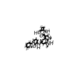 CNc1cc(Nc2cccn(-c3ccccn3)c2=O)nc2c(C(=O)N[C@@H]3CC[C@H]3O)cnn12